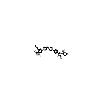 CCCCc1cc(N2CCC(CN3CCN(c4ccc(-c5nn(C6CCC(=O)NC6=O)c(=O)n5C)cc4)CC3)CC2)ccc1C(N)=O